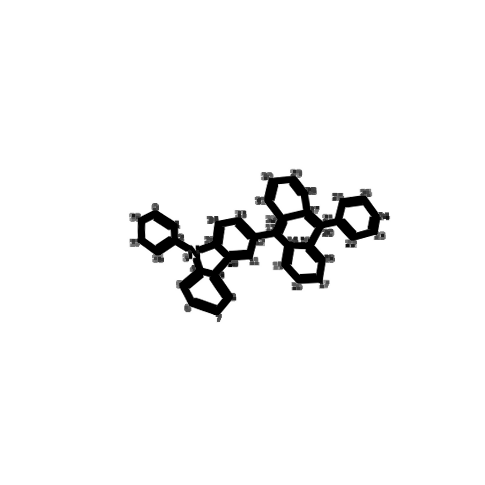 C1=CC(n2c3ccccc3c3cc(-c4c5ccccc5c(-c5ccccc5)c5ccccc45)ccc32)=CCC1